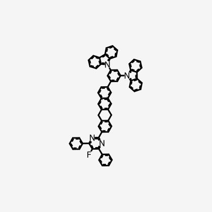 Fc1c(-c2ccccc2)nc(-c2ccc3c(c2)Cc2cc4ccc(-c5cc(-n6c7ccccc7c7ccccc76)cc(-n6c7ccccc7c7ccccc76)c5)cc4cc2C3)nc1-c1ccccc1